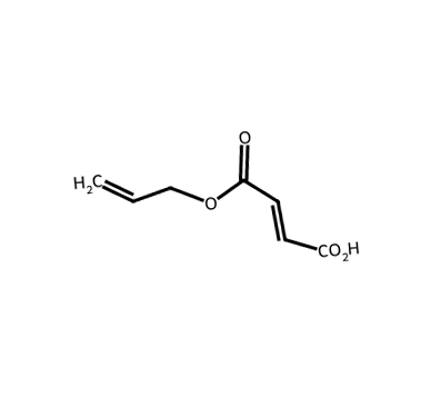 C=CCOC(=O)C=CC(=O)O